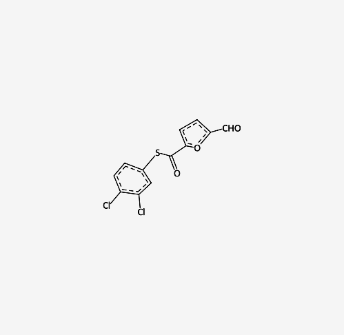 O=Cc1ccc(C(=O)Sc2ccc(Cl)c(Cl)c2)o1